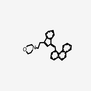 C1=C(CCN2CCOCC2)c2ccccc2/C1=C/c1cccc2ccc3ccccc3c12